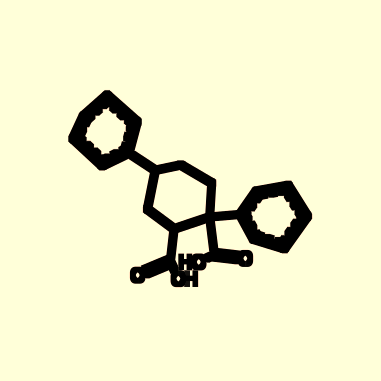 O=C(O)C1CC(c2ccccc2)CCC1(C(=O)O)c1ccccc1